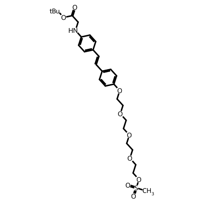 CC(C)(C)OC(=O)CNc1ccc(C=Cc2ccc(OCCOCCOCCOCCOS(C)(=O)=O)cc2)cc1